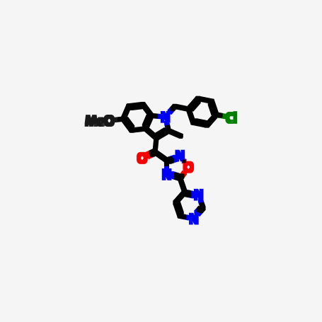 COc1ccc2c(c1)c(C(=O)c1noc(-c3ccncn3)n1)c(C)n2Cc1ccc(Cl)cc1